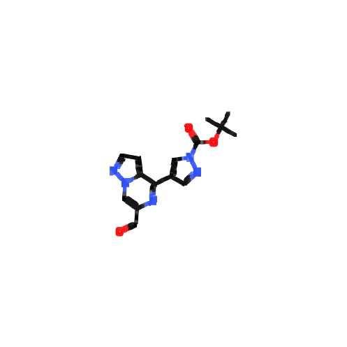 CC(C)(C)OC(=O)n1cc(-c2nc(C=O)cn3nccc23)cn1